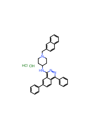 Cl.Cl.c1ccc(-c2ccc3c(-c4ccccc4)nnc(NC4CCN(Cc5ccc6ccccc6c5)CC4)c3c2)cc1